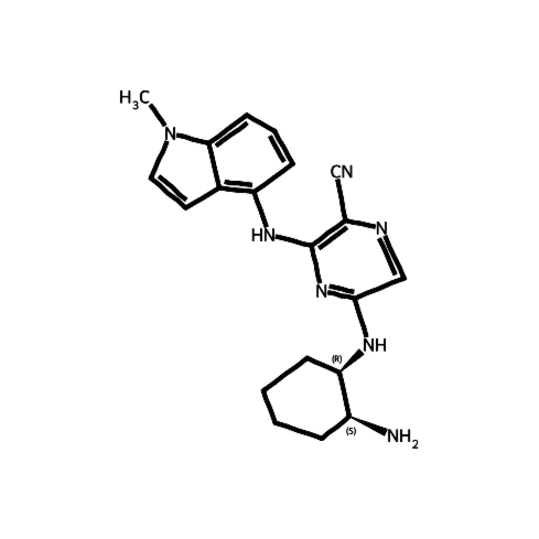 Cn1ccc2c(Nc3nc(N[C@@H]4CCCC[C@@H]4N)cnc3C#N)cccc21